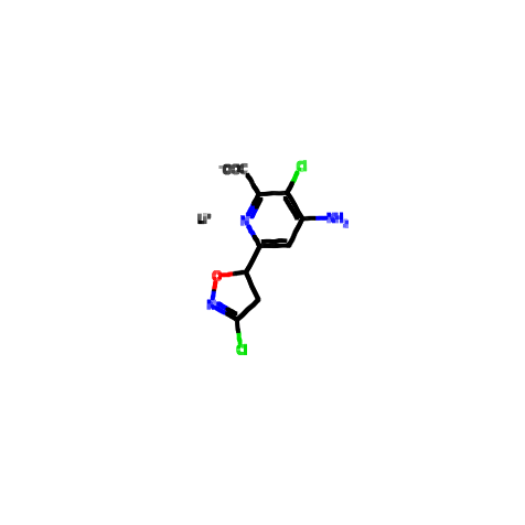 Nc1cc(C2CC(Cl)=NO2)nc(C(=O)[O-])c1Cl.[Li+]